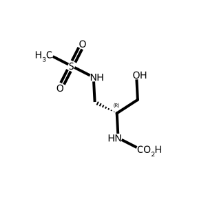 CS(=O)(=O)NC[C@H](CO)NC(=O)O